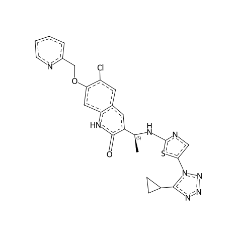 C[C@H](Nc1ncc(-n2nnnc2C2CC2)s1)c1cc2cc(Cl)c(OCc3ccccn3)cc2[nH]c1=O